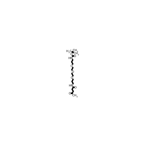 CC(=O)CCC(=O)NCCCOCCOCCOCCCNC(=O)OC(C)(C)C